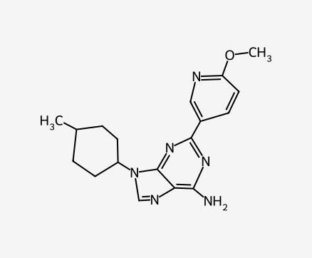 COc1ccc(-c2nc(N)c3ncn(C4CCC(C)CC4)c3n2)cn1